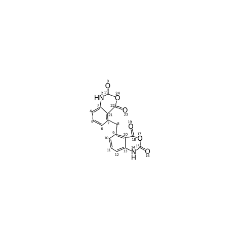 O=c1[nH]c2cccc(Cc3cccc4[nH]c(=O)oc(=O)c34)c2c(=O)o1